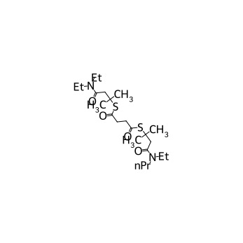 CCCN(CC)C(=O)CC(C)(C)SC(=O)CCC(=O)SC(C)(C)CC(=O)N(CC)CC